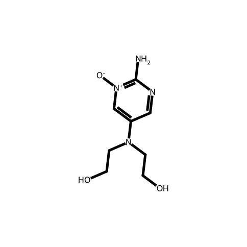 Nc1ncc(N(CCO)CCO)c[n+]1[O-]